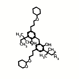 CCC(C)(C)c1cc(CCCOC2CCCCC2)cc(Cc2cc(CCCOC3CCCCO3)cc(C(C)(C)CC)c2O)c1O